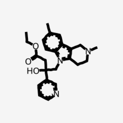 CCOC(=O)CC(O)(Cn1c2c(c3cc(C)ccc31)CN(C)CC2)c1cccnc1